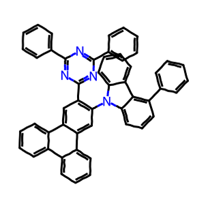 c1ccc(-c2nc(-c3ccccc3)nc(-c3cc4c5ccccc5c5ccccc5c4cc3-n3c4ccccc4c4c(-c5ccccc5)cccc43)n2)cc1